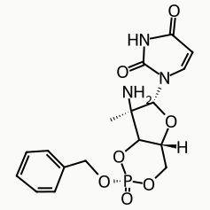 C[C@@]1(N)C2O[P@@](=O)(OCc3ccccc3)OC[C@H]2O[C@H]1n1ccc(=O)[nH]c1=O